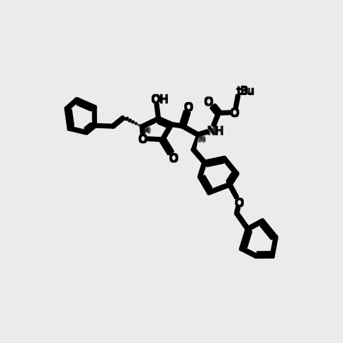 CC(C)(C)OC(=O)N[C@@H](Cc1ccc(OCc2ccccc2)cc1)C(=O)C1=C(O)[C@@H](CCc2ccccc2)OC1=O